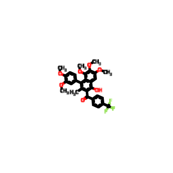 COc1ccc(-c2c(C)c(C(=O)c3ccc(C(F)(F)F)cc3)c(O)c3cc(OC)c(OC)c(OC)c23)cc1OC